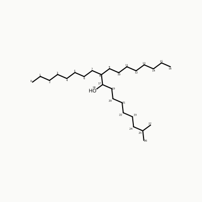 CCCCCCCCC(CCCCCCCC)C(O)CCCCCCC(C)C